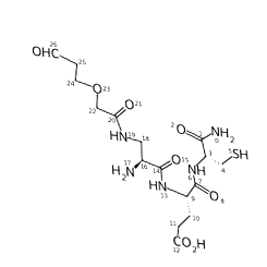 NC(=O)[C@H](CS)NC(=O)[C@H](CCC(=O)O)NC(=O)[C@@H](N)CNC(=O)COCCC=O